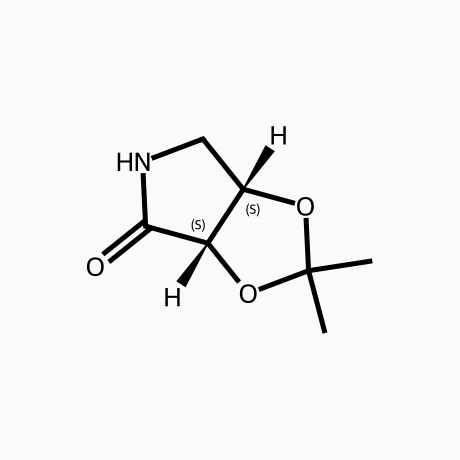 CC1(C)O[C@H]2CNC(=O)[C@H]2O1